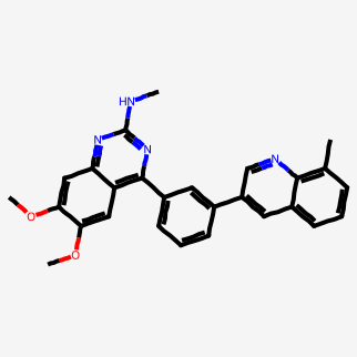 CNc1nc(-c2cccc(-c3cnc4c(C)cccc4c3)c2)c2cc(OC)c(OC)cc2n1